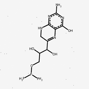 Nc1nc(O)c2c(n1)NCC(C(O)C(O)COP(P)P)=N2